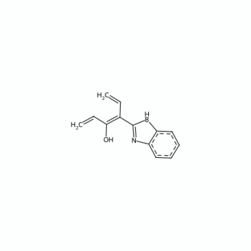 C=C/C(O)=C(\C=C)C1=Nc2ccccc2B1